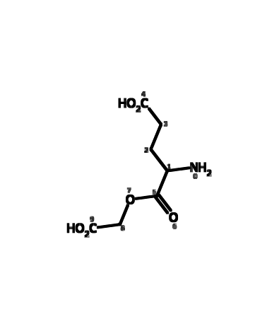 NC(CCC(=O)O)C(=O)OCC(=O)O